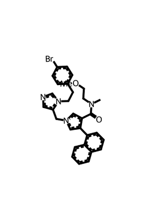 COCCN(C)C(=O)c1cn(Cc2cncn2CCc2ccc(Br)cc2)cc1-c1cccc2ccccc12